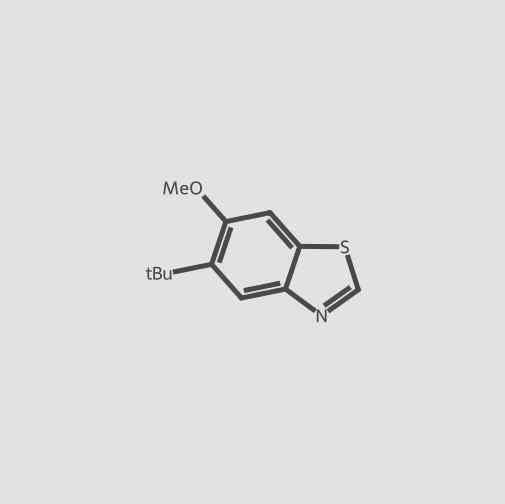 COc1cc2scnc2cc1C(C)(C)C